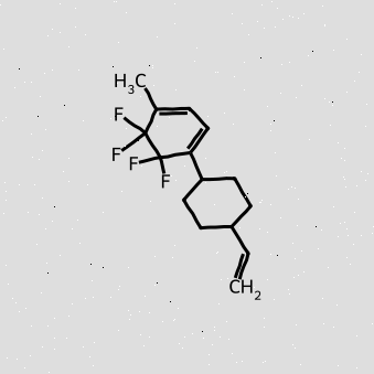 C=CC1CCC(C2=CC=C(C)C(F)(F)C2(F)F)CC1